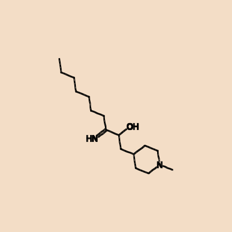 CCCCCCCC(=N)C(O)CC1CCN(C)CC1